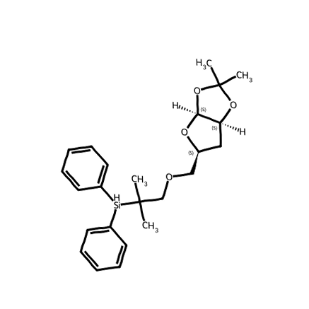 CC1(C)O[C@@H]2O[C@H](COCC(C)(C)[SiH](c3ccccc3)c3ccccc3)C[C@@H]2O1